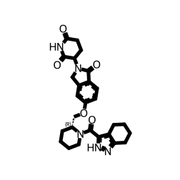 O=C1CCC(N2Cc3cc(OC[C@H]4CCCCN4C(=O)c4[nH]nc5c4CCCC5)ccc3C2=O)C(=O)N1